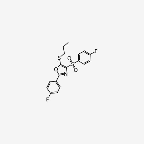 CCCSc1oc(-c2ccc(F)cc2)nc1S(=O)(=O)c1ccc(F)cc1